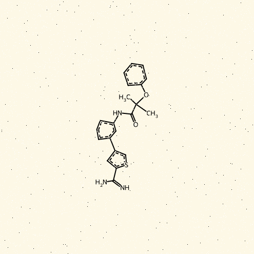 CC(C)(Oc1ccccc1)C(=O)Nc1cccc(-c2csc(C(=N)N)c2)c1